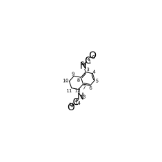 O=C=Nc1cccc2c1CCCC2N=C=O